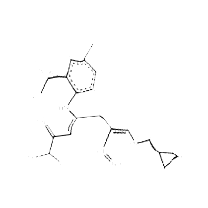 C[C@@H](O)c1cc(F)ccc1N/C(=C\C(=N)C(F)F)C/C(=C/NCC1CC1)N=N